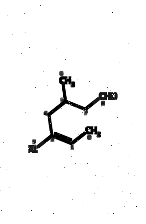 CC=C(CC)CC(C)CC=O